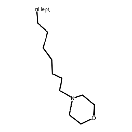 CCCCCCCCCCCCCCN1CCOCC1